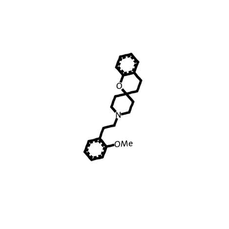 COc1ccccc1CCN1CCC2(CCc3ccccc3O2)CC1